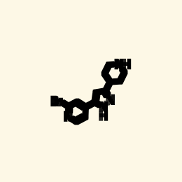 Brc1cc(-c2cc(C3CCNCC3)n[nH]2)ccn1